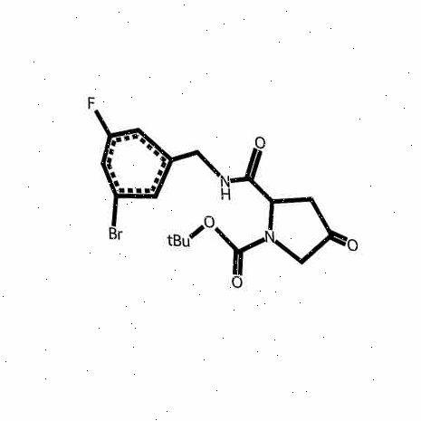 CC(C)(C)OC(=O)N1CC(=O)CC1C(=O)NCc1cc(F)cc(Br)c1